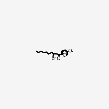 CCCCCCCC(Br)CC(=O)c1ccc(OC)cc1